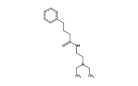 CCN(CC)CCNC(=O)CCCc1ccccc1